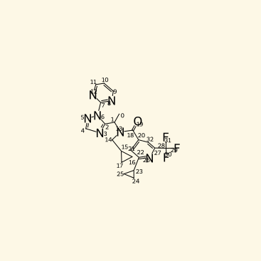 CC(c1ncnn1-c1ncccn1)N(CC1CC1)C(=O)c1cc(C2CC2)nc(C(F)(F)F)c1